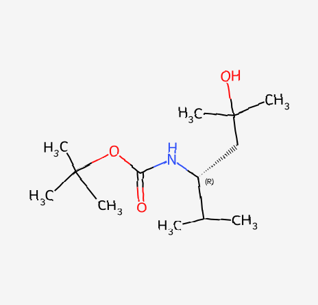 CC(C)[C@@H](CC(C)(C)O)NC(=O)OC(C)(C)C